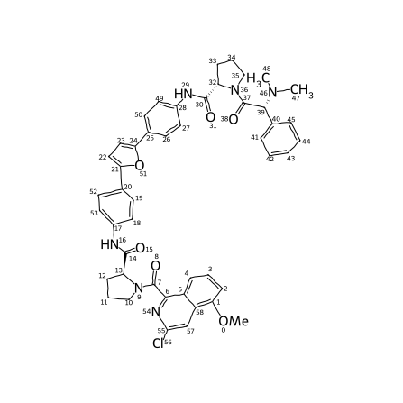 COc1cccc2c(C(=O)N3CCC[C@H]3C(=O)Nc3ccc(-c4ccc(-c5ccc(NC(=O)[C@@H]6CCCN6C(=O)[C@@H](c6ccccc6)N(C)C)cc5)o4)cc3)nc(Cl)cc12